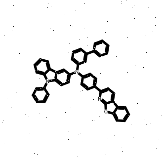 c1ccc(-c2cccc(N(c3ccc(-c4ccc5c(n4)oc4ccccc45)cc3)c3ccc4c(c3)c3ccccc3n4-c3ccccc3)c2)cc1